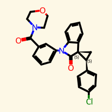 O=C(c1cccc(N2C(=O)[C@]3(C[C@H]3c3ccc(Cl)cc3)c3ccccc32)c1)N1CCOCC1